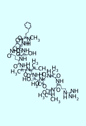 CC[C@H](C)[C@H](NC(=O)[C@@H](C)NC(=O)C(CCC(N)=O)NC(=O)[C@H](CO)NC(=O)[C@@H](NC(=O)[C@@H](CCc1ccccc1)NC)[C@@H](C)CC)C(=O)N[C@@H](CO)C(=O)N[C@H]1C(=O)N[C@@H](C)C(=O)N[C@@H](CCCNC(=N)N)C(=O)N[C@@H]([C@@H](C)CC)C(=O)O[C@H]1C